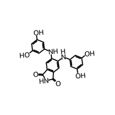 O=C1NC(=O)c2cc(Nc3cc(O)cc(O)c3)c(Nc3cc(O)cc(O)c3)cc21